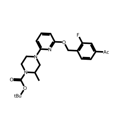 CC(=O)c1ccc(COc2cccc(N3CCN(C(=O)OC(C)(C)C)C(C)C3)n2)c(F)c1